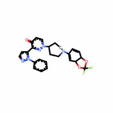 O=c1ccn(C2CCN(C3=CC4OC(F)(F)OC4C=C3)CC2)nc1-c1ccnn1-c1ccccc1